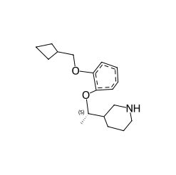 C[C@H](Oc1ccccc1OCC1CCC1)C1CCCNC1